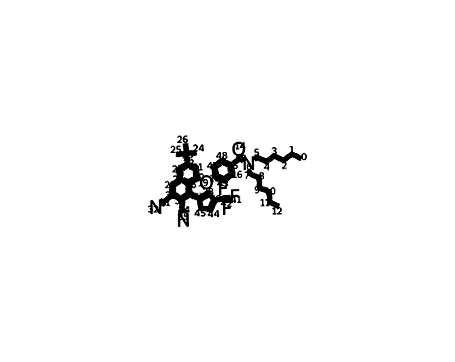 CCCCCCN(CCCCCC)C(=O)c1ccc(Oc2cc(C(C)(C)C)cc3cc(C#N)c(C#N)c(C4=CC(C(F)(F)F)=CC4)c23)cc1